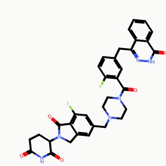 O=C1CCC(N2Cc3cc(CN4CCN(C(=O)c5cc(Cc6n[nH]c(=O)c7ccccc67)ccc5F)CC4)cc(F)c3C2=O)C(=O)N1